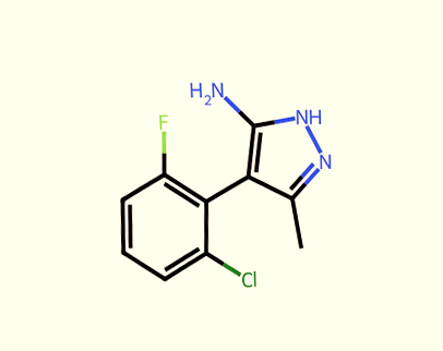 Cc1n[nH]c(N)c1-c1c(F)cccc1Cl